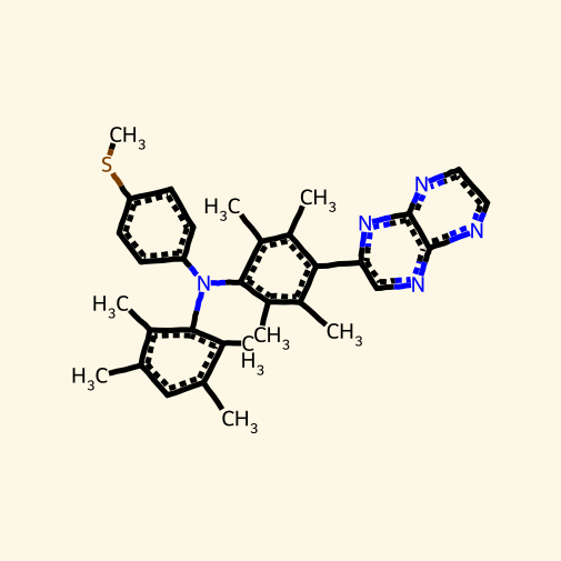 CSc1ccc(N(c2c(C)c(C)cc(C)c2C)c2c(C)c(C)c(-c3cnc4nccnc4n3)c(C)c2C)cc1